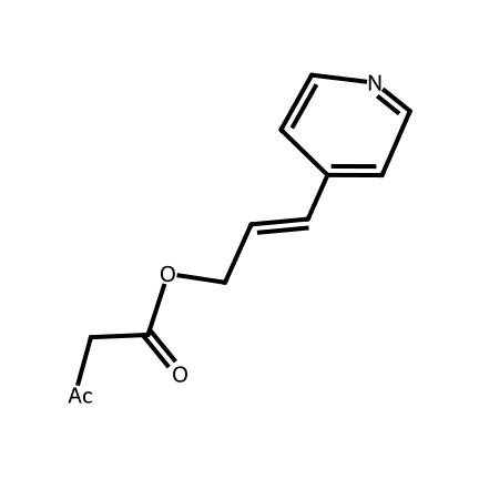 CC(=O)CC(=O)OC/C=C/c1ccncc1